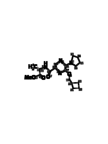 COC(=O)[C@H](C)NC(=O)c1cnc(N2CCCC2)c(OCC2CCC2)n1